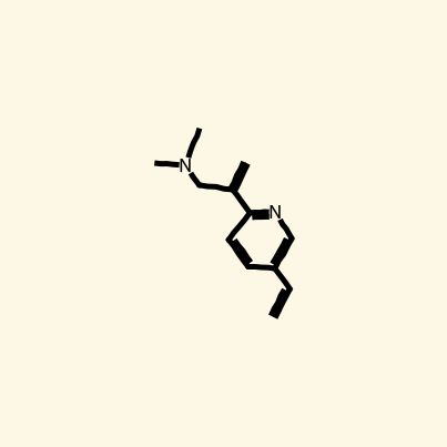 C=Cc1ccc(C(=C)CN(C)C)nc1